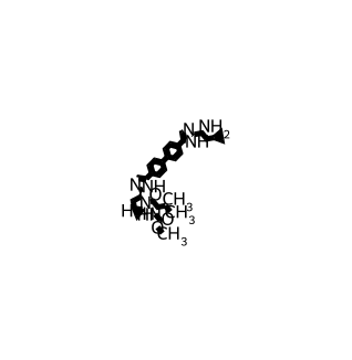 COC(=O)N[C@H](C(=O)N1[C@@H]2C[C@@H]2C[C@H]1c1ncc(-c2ccc(-c3ccc(-c4cnc([C@@H](N)CC5CC5)[nH]4)cc3)cc2)[nH]1)C(C)C